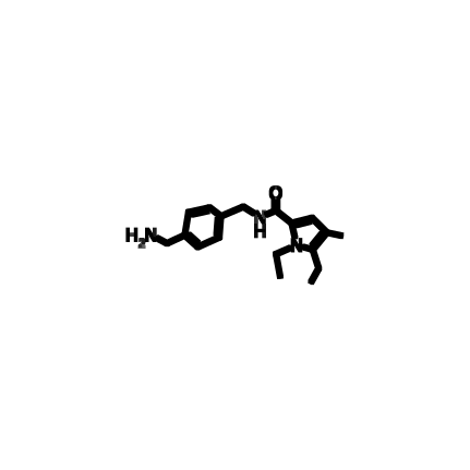 CCc1c(C)cc(C(=O)NCc2ccc(CN)cc2)n1CC